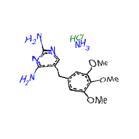 COc1cc(Cc2cnc(N)nc2N)cc(OC)c1OC.Cl.N